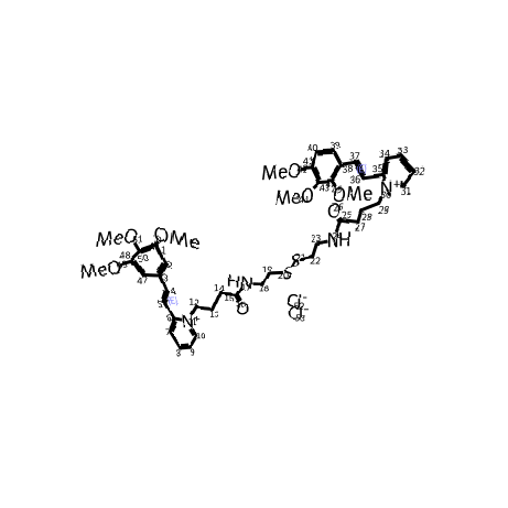 COc1cc(/C=C/c2cccc[n+]2CCCC(=O)NCCSSCCNC(=O)CCC[n+]2ccccc2/C=C/c2ccc(OC)c(OC)c2OC)cc(OC)c1OC.[Cl-].[Cl-]